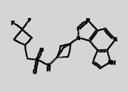 O=S(=O)(CC1CC(F)(F)C1)NC12CC(n3cnc4cnc5[nH]ccc5c43)(C1)C2